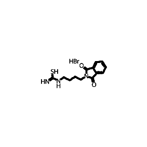 Br.N=C(S)NCCCCN1C(=O)c2ccccc2C1=O